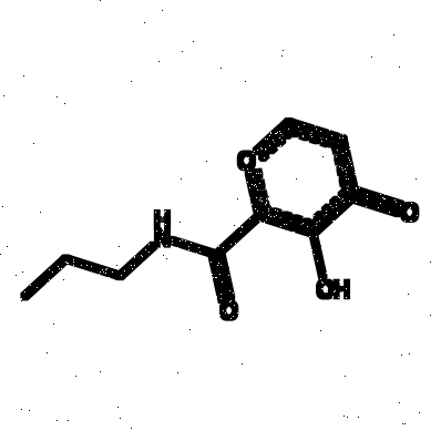 CCCNC(=O)c1occc(=O)c1O